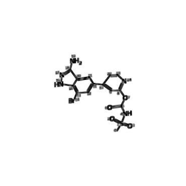 CS(=O)(=O)NC(=O)Oc1cc(-c2cc(Br)c3[nH]nc(N)c3c2)ccn1